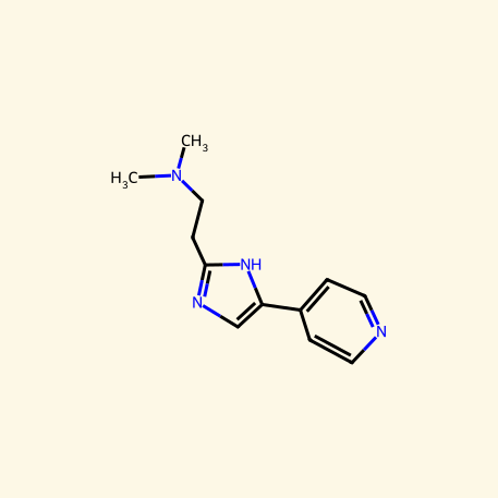 CN(C)CCc1ncc(-c2ccncc2)[nH]1